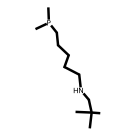 CP(C)CCCCCNCC(C)(C)C